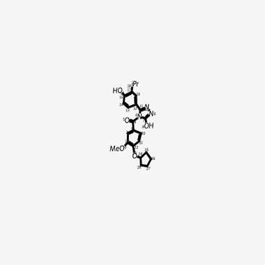 COc1cc(C(=O)n2c(O)nnc2-c2ccc(O)c(C(C)C)c2)ccc1OC1CCCC1